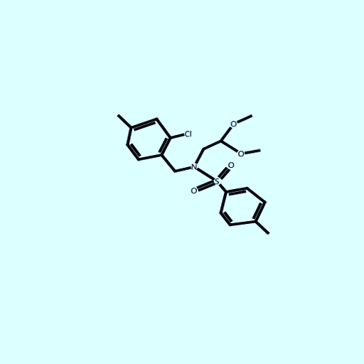 COC(CN(Cc1ccc(C)cc1Cl)S(=O)(=O)c1ccc(C)cc1)OC